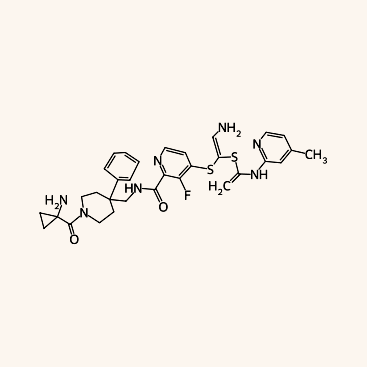 C=C(Nc1cc(C)ccn1)S/C(=C\N)Sc1ccnc(C(=O)NCC2(c3ccccc3)CCN(C(=O)C3(N)CC3)CC2)c1F